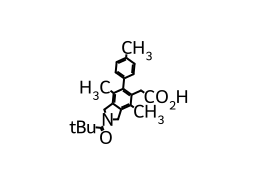 Cc1ccc(-c2c(C)c3c(c(C)c2CC(=O)O)CN(C(=O)C(C)(C)C)C3)cc1